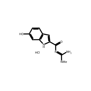 CNC(N)=NC(=O)c1cc2ccc(O)cc2[nH]1.Cl